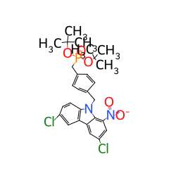 CC(C)(C)OP(=O)(Cc1ccc(Cn2c3ccc(Cl)cc3c3cc(Cl)cc([N+](=O)[O-])c32)cc1)OC(C)(C)C